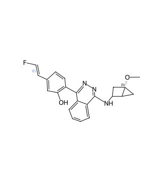 CO[C@@]12CC(Nc3nnc(-c4ccc(/C=C/F)cc4O)c4ccccc34)C1C2